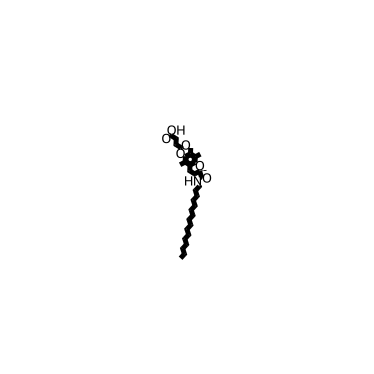 CCCCCCCCCCCCCCCCNC(=O)[C@@]1(C)CCc2c(C)c(OC(=O)CCC(=O)O)c(C)c(C)c2O1